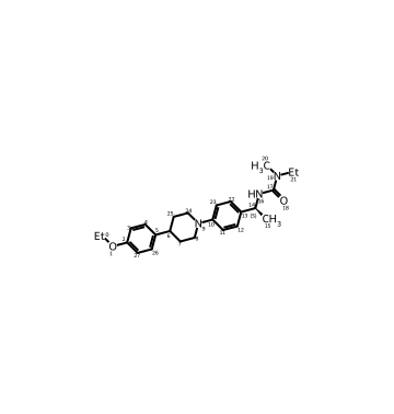 CCOc1ccc(C2CCN(c3ccc([C@H](C)NC(=O)N(C)CC)cc3)CC2)cc1